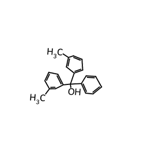 Cc1cccc(C(O)(c2ccccc2)c2cccc(C)c2)c1